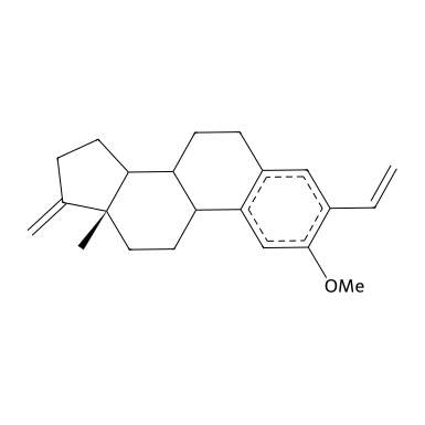 C=Cc1cc2c(cc1OC)C1CC[C@]3(C)C(=C)CCC3C1CC2